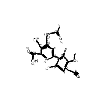 COc1c(C#N)cc(F)c(-c2cc(NC(C)=O)c(Cl)c(C(=O)O)n2)c1F